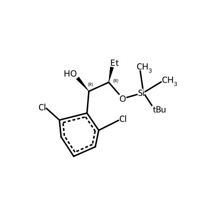 CC[C@@H](O[Si](C)(C)C(C)(C)C)[C@H](O)c1c(Cl)cccc1Cl